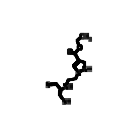 CCOC(=O)C1=CN(CCN/C(C=S)=C\S)NC1